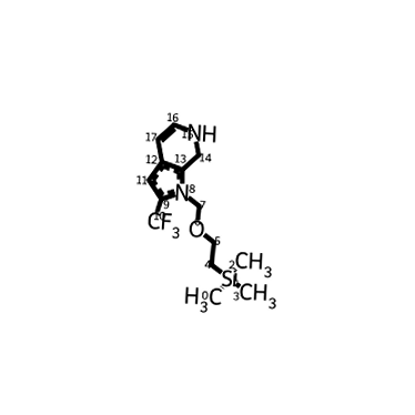 C[Si](C)(C)CCOCn1c(C(F)(F)F)cc2c1CNC=C2